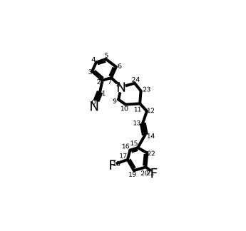 N#Cc1ccccc1N1CCC(CC#Cc2cc(F)cc(F)c2)CC1